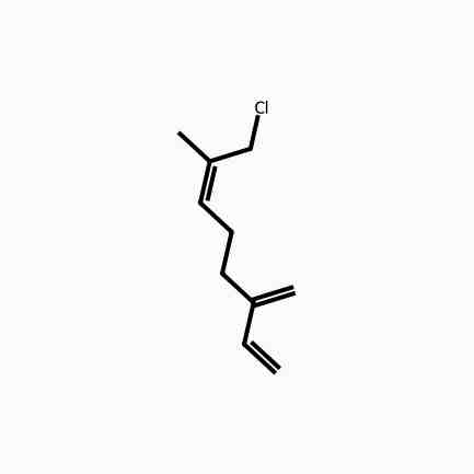 C=CC(=C)CCC=C(C)CCl